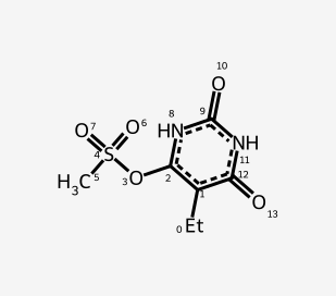 CCc1c(OS(C)(=O)=O)[nH]c(=O)[nH]c1=O